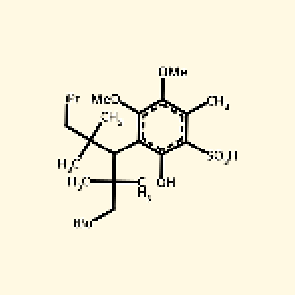 COc1c(C)c(S(=O)(=O)O)c(O)c(C(C(C)(C)CC(C)C)C(C)(C)CC(C)(C)C)c1OC